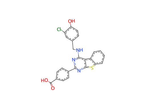 O=C(O)c1ccc(-c2nc(NCc3ccc(O)c(Cl)c3)c3c(n2)sc2ccccc23)cc1